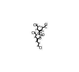 O=[PH](OC(=CCCCl)CCCl)OC(=CCCCl)CCCl